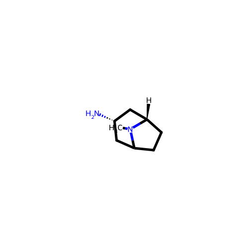 CN1C2CC[C@H]1C[C@@H](N)C2